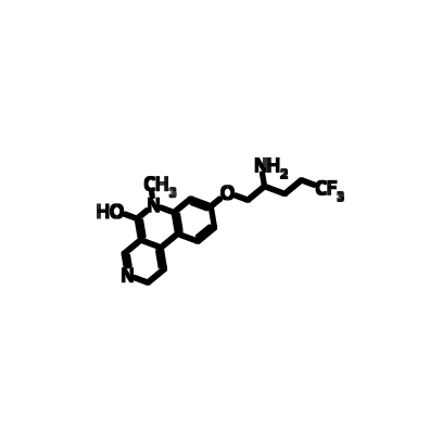 CN1C(O)=C2C=NCC=C2c2ccc(OCC(N)CCC(F)(F)F)cc21